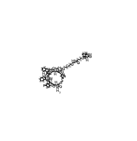 NC(=O)[C@@H]1CCCCn2cc(nn2)C[C@H](NC(=O)COCCOCCOCCNC(=O)CCCC[C@@H]2SC[C@@H]3NC(=O)N[C@@H]32)C(=O)N[C@H](CO)C(=O)N[C@H](Cc2c[nH]c3ccccc23)C(=O)N[C@H](Cc2c[nH]c3ccccc23)C(=O)N[C@@H](Cc2ccc(F)cc2)C(=O)N1